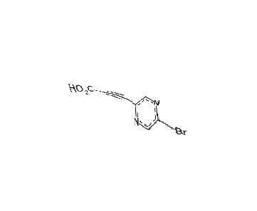 O=C(O)C#Cc1cnc(Br)cn1